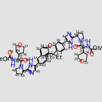 CCC1(CC)c2ccc(-c3cnc([C@H]4CCCN4C(=O)[C@@H](NC(=O)OC)C4CCOCC4)[nH]3)cc2Oc2ccc3cc(-c4cnc([C@H]5CCCN5C(=O)[C@H](NC(=O)OC)C5CCOCC5)[nH]4)ccc3c21